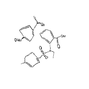 CCN(c1ccccc1C(=O)O)S(=O)(=O)c1ccc(C)cc1.O=Cc1ccc(C(=O)O)cc1